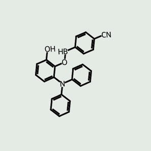 N#Cc1ccc(BOc2c(O)cccc2N(c2ccccc2)c2ccccc2)cc1